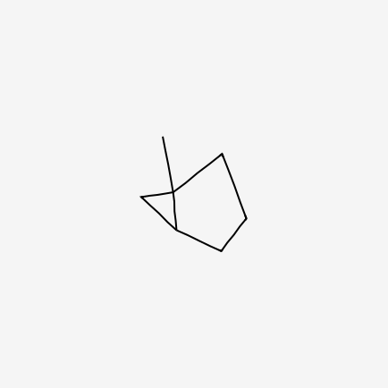 CC12CCCC1C2